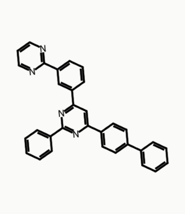 c1ccc(-c2ccc(-c3cc(-c4cccc(-c5ncccn5)c4)nc(-c4ccccc4)n3)cc2)cc1